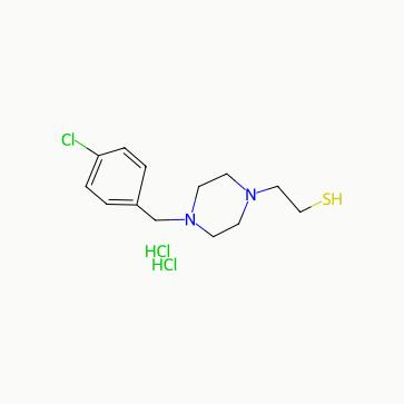 Cl.Cl.SCCN1CCN(Cc2ccc(Cl)cc2)CC1